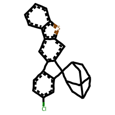 Clc1ccc2c(c1)C1(c3cc4sc5ccccc5c4cc3-2)C2CC3CC(C2)CC1C3